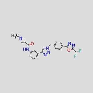 CN1CC(C(=O)Nc2cccc(-c3cn(Cc4ccc(-c5nnc(C(F)F)o5)cc4)nn3)c2)C1